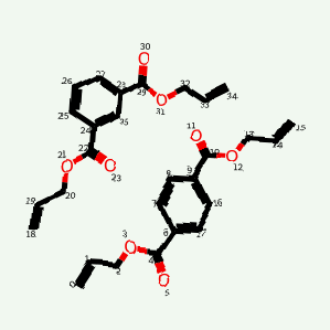 C=CCOC(=O)c1ccc(C(=O)OCC=C)cc1.C=CCOC(=O)c1cccc(C(=O)OCC=C)c1